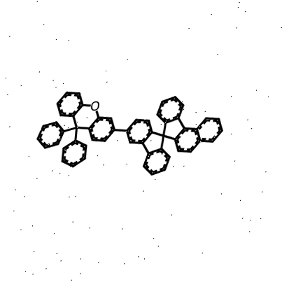 c1ccc(C2(c3ccccc3)c3ccccc3Oc3cc(-c4ccc5c(c4)-c4ccccc4C54c5ccccc5-c5c4ccc4ccccc54)ccc32)cc1